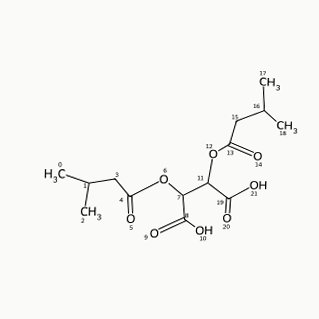 CC(C)CC(=O)OC(C(=O)O)C(OC(=O)CC(C)C)C(=O)O